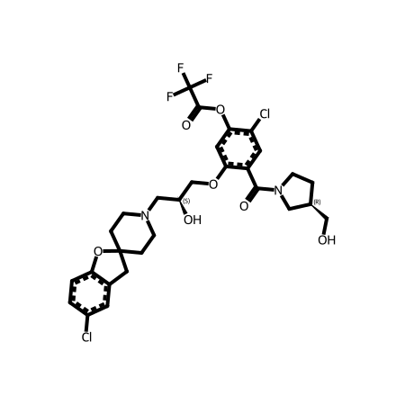 O=C(c1cc(Cl)c(OC(=O)C(F)(F)F)cc1OC[C@@H](O)CN1CCC2(CC1)Cc1cc(Cl)ccc1O2)N1CC[C@@H](CO)C1